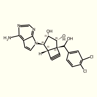 Nc1ncnc2c1ccn2[C@H]1[C@H](O)[C@H](O)[C@]2(C(O)c3ccc(Cl)c(Cl)c3)C#C[C@H]12